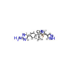 CC(c1ccc(-c2cnc(N)nc2)cc1)(c1ncc(-c2cn[nH]c2)s1)C1CC1